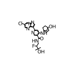 CC(C)(O)C(F)CNC(=O)c1cnc(-c2cnn3cc(Cl)cnc23)cc1NC12CCC(O)(CC1)C2